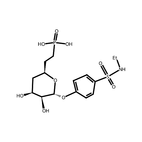 CCNS(=O)(=O)c1ccc(O[C@H]2O[C@H](CCP(=O)(O)O)C[C@H](O)[C@@H]2O)cc1